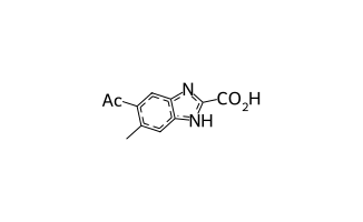 CC(=O)c1cc2nc(C(=O)O)[nH]c2cc1C